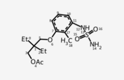 CCC(CC)(COC(C)=O)COc1cccc(NS(N)(=O)=O)c1C